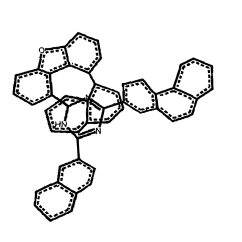 c1ccc2cc(C3=NC(c4ccc5c(ccc6ccccc65)c4)=NC(c4cccc5oc6cccc(-c7cccc8ccccc78)c6c45)N3)ccc2c1